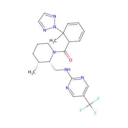 C[C@@H]1CCCN(C(=O)C2C=CC=CC2(C)n2nccn2)[C@@H]1CNc1ncc(C(F)(F)F)cn1